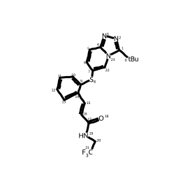 CC(C)(C)c1nnc2ccc(Sc3ccccc3C=CC(=O)NCC(F)(F)F)cn12